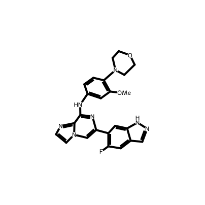 COc1cc(Nc2nc(-c3cc4[nH]ncc4cc3F)cn3ccnc23)ccc1N1CCOCC1